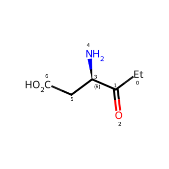 CCC(=O)[C@H](N)CC(=O)O